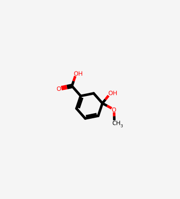 COC1(O)C=CC=C(C(=O)O)C1